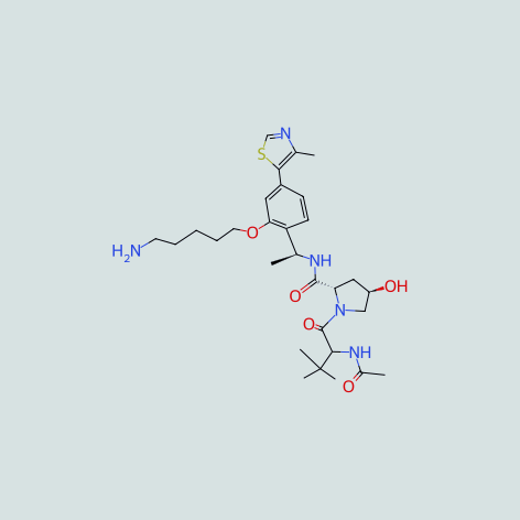 CC(=O)NC(C(=O)N1C[C@H](O)C[C@H]1C(=O)N[C@@H](C)c1ccc(-c2scnc2C)cc1OCCCCCN)C(C)(C)C